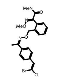 CNC(=O)/C(=N/OC)c1ccccc1CON=C(C)c1ccc(C=C(Cl)Br)cc1